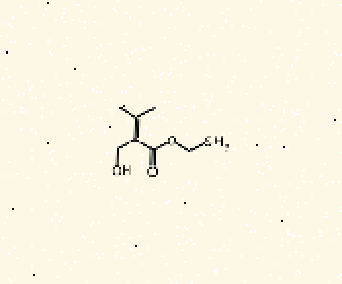 CC(C)=C(CO)C(=O)OC[SiH3]